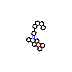 c1ccc(-c2ccc(-c3ccccc3N(c3ccc(-c4ccccc4)cc3)c3ccc(-c4ccc5ccc6ccc7ccccc7c6c5c4)cc3)cc2)cc1